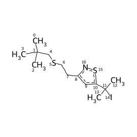 CC(C)(C)CSCCc1cc(C(C)(C)I)sn1